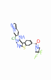 O=C([C@H]1CCc2c(sc3ncnc(Nc4cc5ccnn5cc4Cl)c23)C1)N1CC(F)(F)C1